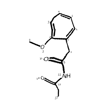 COc1ccccc1CC(=O)NC(C)=O